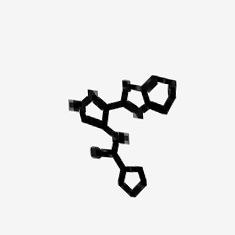 O=C(Nc1c[nH]nc1-c1nc2ccccc2s1)C1CCCC1